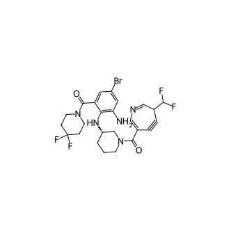 Nc1cc(Br)cc(C(=O)N2CCC(F)(F)CC2)c1N[C@@H]1CCCN(C(=O)C2=CN=CC(C(F)F)C#C2)C1